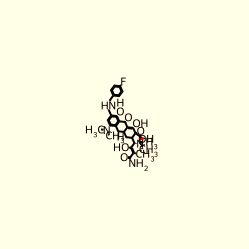 C/C(C(N)=O)=C(/O)[C@H](C1C[C@@H]2Cc3c(N(C)C)cc(CNCc4ccc(F)cc4)c(O)c3C(=O)C2=C(O)[C@@]12OC2O)N(C)C